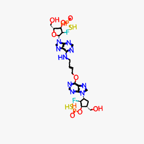 O=[PH](S)O[C@@H]1[C@@H](CO)C[C@@H](n2cnc3c(OC/C=C/CNc4ncnc5c4ncn5[C@@H]4O[C@H](CO)[C@@H](O[PH](=O)S)[C@H]4F)ncnc32)[C@@H]1F